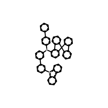 c1ccc(-c2ccc(N(c3cccc(-c4cccc(-n5c6ccccc6c6ccccc65)c4)c3)c3cccc4c3-c3ccccc3C43c4ccccc4-c4ccccc43)cc2)cc1